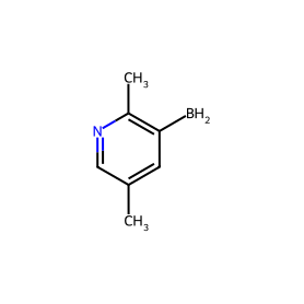 Bc1cc(C)cnc1C